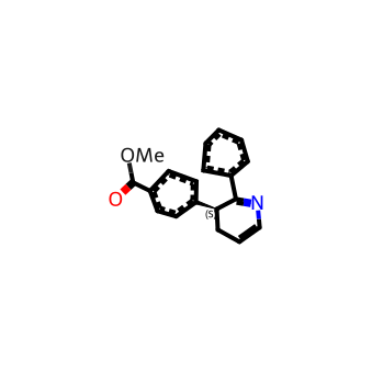 COC(=O)c1ccc([C@@H]2CC=CN=C2c2ccccc2)cc1